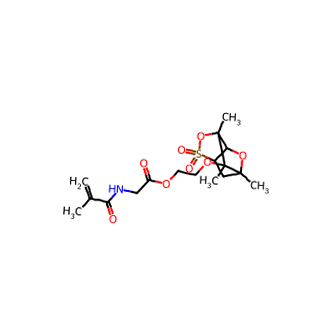 C=C(C)C(=O)NCC(=O)OCCOC1(C)C2(C)CC3C(O2)C1(C)OS3(=O)=O